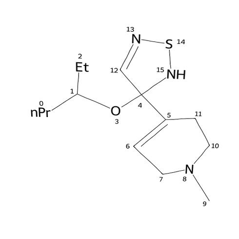 CCCC(CC)OC1(C2=CCN(C)CC2)C=NSN1